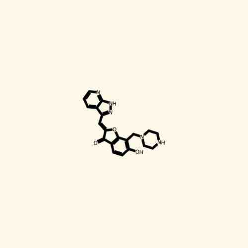 O=C1C(=Cc2n[nH]c3ncccc23)Oc2c1ccc(O)c2CN1CCNCC1